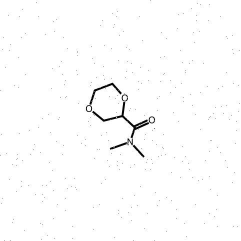 CN(C)C(=O)C1COCCO1